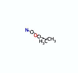 CCC(C)C#Cc1ccc(OCc2ccc(C#N)cc2)cc1